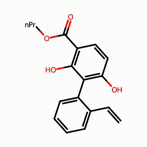 C=Cc1ccccc1-c1c(O)ccc(C(=O)OCCC)c1O